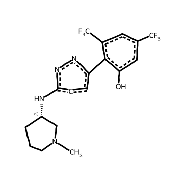 CN1CCC[C@H](Nc2ccc(-c3c(O)cc(C(F)(F)F)cc3C(F)(F)F)nn2)C1